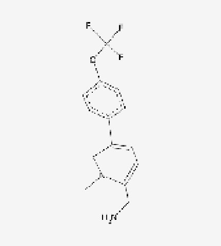 CN1CC(c2ccc(OC(F)(F)F)cc2)=CC=C1CN